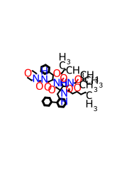 CCCCCC(=O)NC(Cc1ccccc1-c1ccccc1)(C(=O)NC(Cc1ccccc1)C(=O)NC(=O)N1CCOCC1)C(CNC(=O)OC(C)(C)C)COC(=O)C(C)C